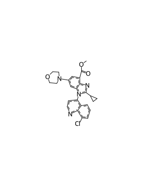 COC(=O)c1cc(N2CCOCC2)cc2c1nc(C1CC1)n2-c1ccnc2c(Cl)cccc12